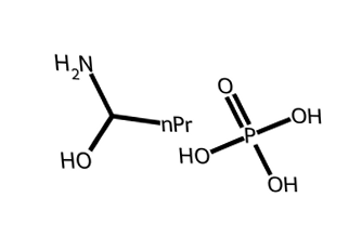 CCCC(N)O.O=P(O)(O)O